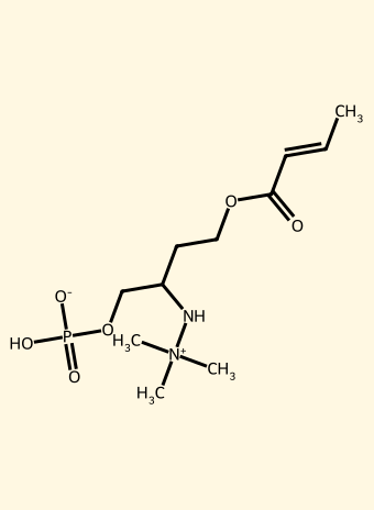 CC=CC(=O)OCCC(COP(=O)([O-])O)N[N+](C)(C)C